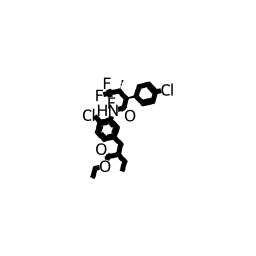 CCOC(=O)C(CC)Cc1ccc(Cl)c(NC(=O)[C@H](C2C=CC(Cl)=CC2)[C@@H](C)C(F)(F)F)c1